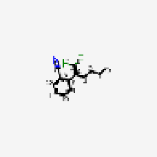 CCCCC(=C(F)F)c1ccccc1C#N